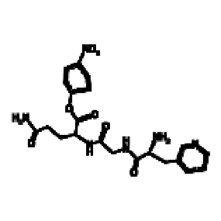 NC(=O)CC[C@H](NC(=O)CNC(=O)[C@@H](N)Cc1cccnc1)C(=O)Oc1ccc([N+](=O)[O-])cc1